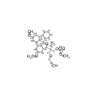 C#CCOCC(C)(CO[PH](=O)OC)COC(c1ccccc1)(c1ccc(OC)cc1)c1ccc(OC)cc1